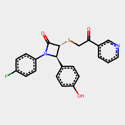 O=C(CS[C@H]1C(=O)N(c2ccc(F)cc2)[C@@H]1c1ccc(O)cc1)c1cccnc1